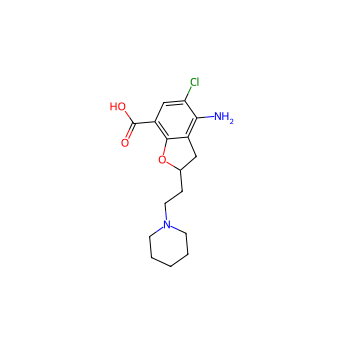 Nc1c(Cl)cc(C(=O)O)c2c1CC(CCN1CCCCC1)O2